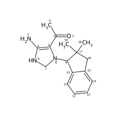 CC(=O)C1=C(N)NCN1C1c2ccccc2CC1(C)C